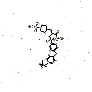 CS(=O)(=O)N1CCN(CC(CS(=O)(=O)c2ccc(Oc3ccc(OC(F)(F)F)cc3)cc2)C(=O)NO)CC1